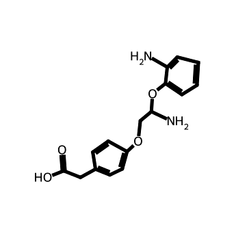 Nc1ccccc1OC(N)COc1ccc(CC(=O)O)cc1